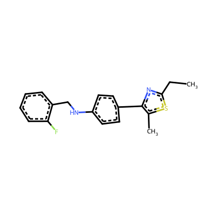 CCc1nc(-c2ccc(NCc3ccccc3F)cc2)c(C)s1